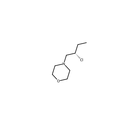 CC[C@H](Cl)CN1CCOCC1